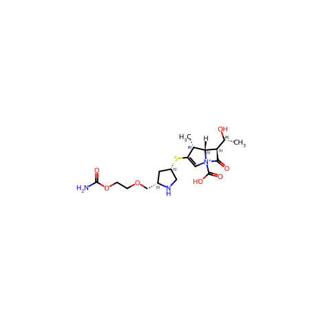 C[C@@H](O)[C@H]1C(=O)[N+]2(C(=O)O)C=C(S[C@@H]3CN[C@H](COCCOC(N)=O)C3)[C@H](C)[C@H]12